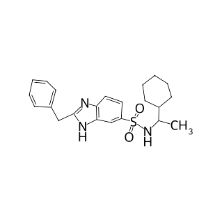 CC(NS(=O)(=O)c1ccc2nc(Cc3ccccc3)[nH]c2c1)C1CCCCC1